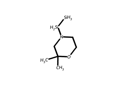 CC1(C)CN([SiH2][SiH3])CCO1